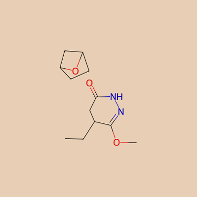 C1CC2CC1O2.CCC1CC(=O)NN=C1OC